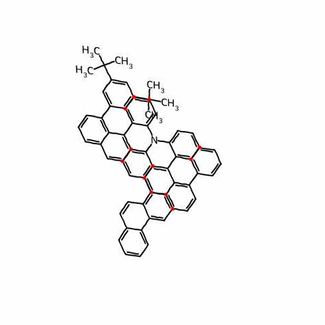 CC(C)(C)c1cc(-c2cccc3cccc(-c4ccccc4N(c4cccc(-c5cccc6c5ccc5ccccc56)c4)c4ccccc4-c4cccc5cccc(-c6ccccc6)c45)c23)cc(C(C)(C)C)c1